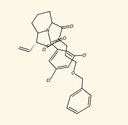 C=C[C@H]1CN(CCCOCc2ccccc2)C(=O)C2CCCC1N2S(=O)(=O)c1cc(Cl)cc(Cl)c1